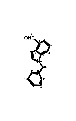 O=Cc1cccc2c1ccn2Cc1ccccc1